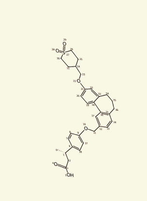 C[C@@H](CC(=O)O)c1ccc(OCc2ccc3c(c2)-c2ccc(OCC4CCS(=O)(=O)CC4)cc2CCC3)cc1